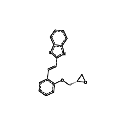 C(=Cc1ccccc1OC[C@@H]1CO1)c1nc2ccccc2s1